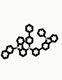 c1ccc(-c2ccc(N(c3cccc(-c4ccc5c6ccccc6n(-c6ccccc6)c5c4)c3)c3cccc4c3c3ccccc3n4-c3ccc4ccccc4c3)cc2)cc1